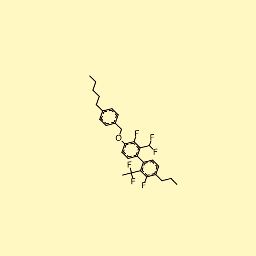 CCCCCc1ccc(COc2ccc(-c3ccc(CCC)c(F)c3C(C)(F)F)c(C(F)F)c2F)cc1